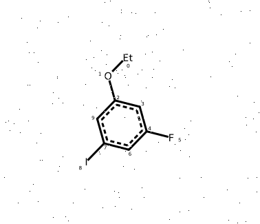 CCOc1cc(F)cc(I)c1